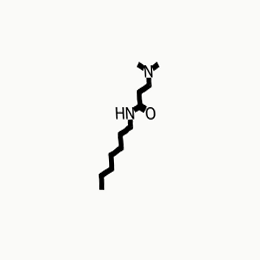 CCCCCCCNC(=O)CCN(C)C